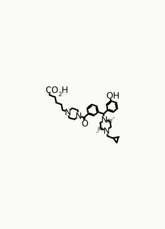 C[C@@H]1CN(C(c2cccc(O)c2)c2cccc(C(=O)N3CCN(CCCCCC(=O)O)CC3)c2)[C@H](C)CN1CC1CC1